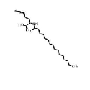 CCCCCCCCCCCCCCCC(=O)NC(CCN=[N+]=[N-])C(=O)O